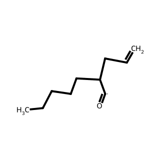 C=CCC([C]=O)CCCCC